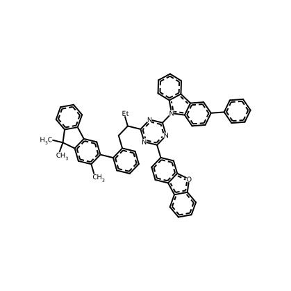 CCC(Cc1ccccc1-c1cc2c(cc1C)C(C)(C)c1ccccc1-2)c1nc(-c2ccc3c(c2)oc2ccccc23)nc(-n2c3ccccc3c3cc(-c4ccccc4)ccc32)n1